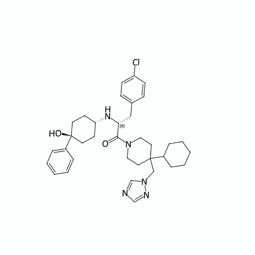 O=C([C@@H](Cc1ccc(Cl)cc1)N[C@H]1CC[C@@](O)(c2ccccc2)CC1)N1CCC(Cn2cncn2)(C2CCCCC2)CC1